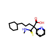 CNC(=S)C(CCCC1CCCCC1)(C(=O)O)c1ccccn1